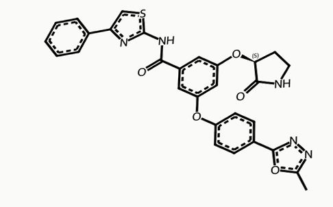 Cc1nnc(-c2ccc(Oc3cc(O[C@H]4CCNC4=O)cc(C(=O)Nc4nc(-c5ccccc5)cs4)c3)cc2)o1